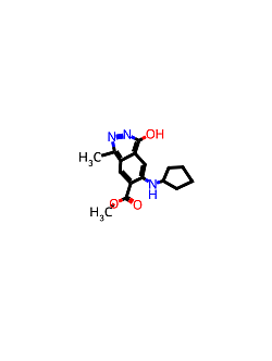 COC(=O)c1cc2c(C)nnc(O)c2cc1NC1CCCC1